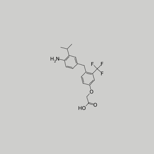 CC(C)c1cc(Cc2ccc(OCC(=O)O)cc2C(F)(F)F)ccc1N